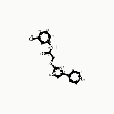 O=C(CSc1nc(-c2ccncc2)cs1)Nc1cccc(Cl)c1